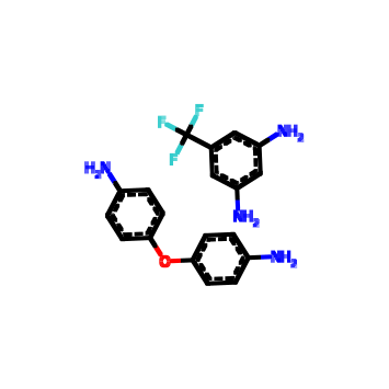 Nc1cc(N)cc(C(F)(F)F)c1.Nc1ccc(Oc2ccc(N)cc2)cc1